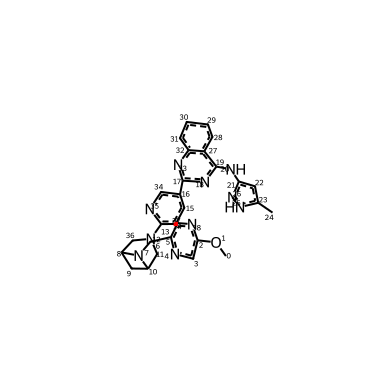 COc1cnc(CN2C3CC2CN(c2ccc(-c4nc(Nc5cc(C)[nH]n5)c5ccccc5n4)cn2)C3)cn1